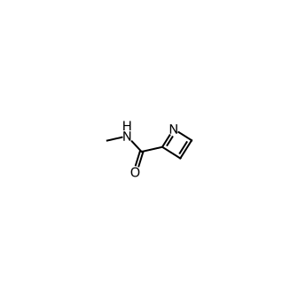 CNC(=O)C1=NC=C1